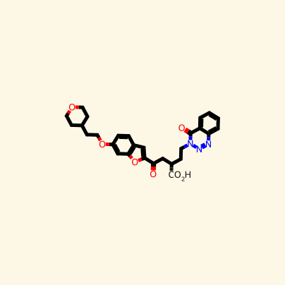 O=C(CC(CCn1nnc2ccccc2c1=O)C(=O)O)c1cc2ccc(OCCC3CCOCC3)cc2o1